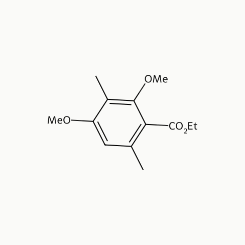 CCOC(=O)c1c(C)cc(OC)c(C)c1OC